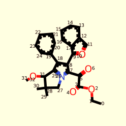 CCOC(=O)C(=O)c1c(-c2occ3ccccc23)c(-c2ccccc2)c2n1CC(C)(C)C2OC